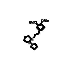 COc1ccc(CCC[C@H]2CCCC[C@@H]2N2CCCC2)cc1OC